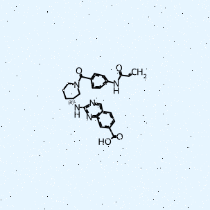 C=CC(=O)Nc1ccc(C(=O)N2CCC[C@@H](Nc3ncc4ccc(C(=O)O)cc4n3)C2)cc1